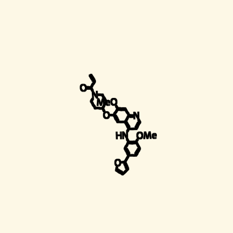 C=CC(=O)N1CCC(Oc2cc3c(Nc4cc(-c5ccco5)ccc4OC)ccnc3cc2OC)CC1